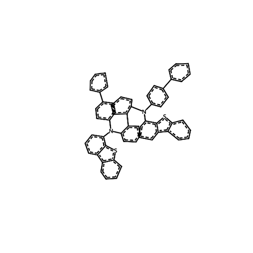 c1ccc(-c2ccc(N(c3ccccc3-c3ccccc3N(c3ccc(-c4ccccc4)cc3)c3cccc4c3sc3ccccc34)c3cccc4c3sc3ccccc34)cc2)cc1